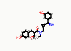 CCN(CC1=CC1C(=N)c1cccc(O)c1)C(=O)C(C=O)Cc1ccc(O)cc1